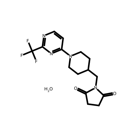 O.O=C1CCC(=O)N1CC1CCN(c2ccnc(C(F)(F)F)n2)CC1